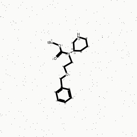 CC(C)(C)OC(=O)N(CCOCc1ccccc1)[C@H]1CCCNC1